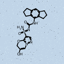 NS(=O)(=NC(=O)Nc1c2c(cc3c1CCC3)CCC2)c1cnn2c1OCC(O)=C2